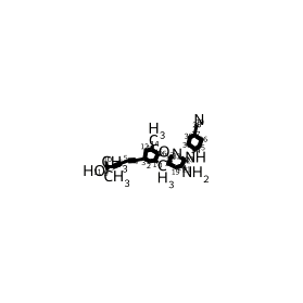 Cc1cc(C#CC#CC(C)(C)O)cc(C)c1Oc1ccc(N)c(Nc2ccc(C#N)cc2)n1